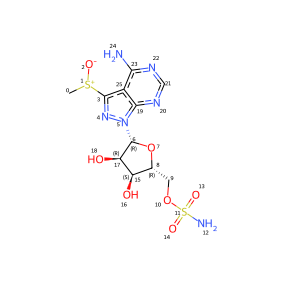 C[S+]([O-])c1nn([C@@H]2O[C@H](COS(N)(=O)=O)[C@@H](O)[C@H]2O)c2ncnc(N)c12